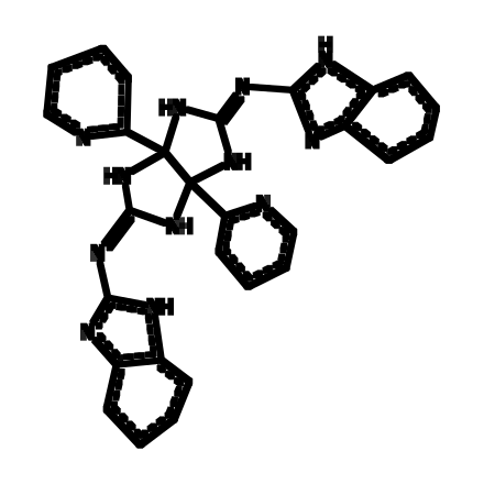 c1ccc(C23NC(=Nc4nc5ccccc5[nH]4)NC2(c2ccccn2)NC(=Nc2nc4ccccc4[nH]2)N3)nc1